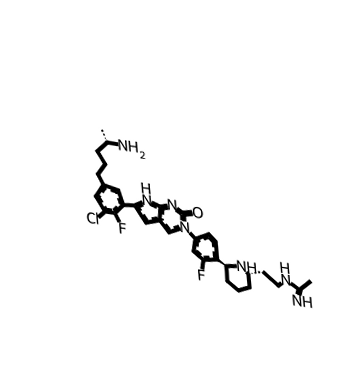 CC(=N)NCC[C@@H]1CCC[C@@H](c2ccc(-n3cc4cc(-c5cc(CCC[C@H](C)N)cc(Cl)c5F)[nH]c4nc3=O)cc2F)N1